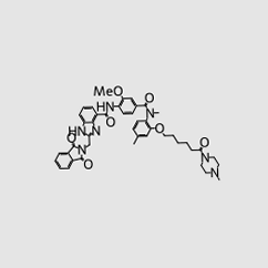 COc1cc(C(=O)N(C)c2ccc(C)cc2OCCCCCC(=O)N2CCN(C)CC2)ccc1NC(=O)c1cccc2[nH]c(CN3C(=O)c4ccccc4C3=O)nc12